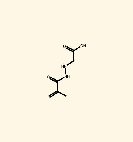 C=C(C)C(=O)NNCC(=O)O